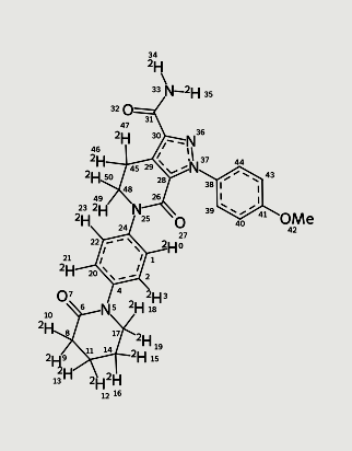 [2H]c1c([2H])c(N2C(=O)C([2H])([2H])C([2H])([2H])C([2H])([2H])C2([2H])[2H])c([2H])c([2H])c1N1C(=O)c2c(c(C(=O)N([2H])[2H])nn2-c2ccc(OC)cc2)C([2H])([2H])C1([2H])[2H]